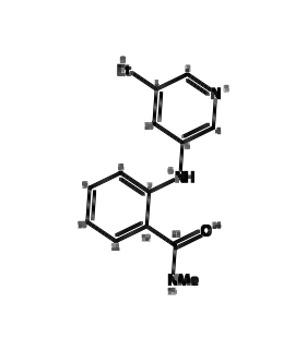 CCc1cncc(Nc2ccccc2C(=O)NC)c1